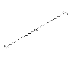 CCCCCCCCCCCCCCCCCSSCCCCCCCCCCCCCCCCC